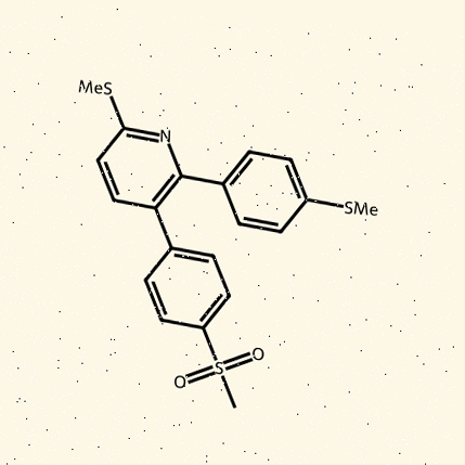 CSc1ccc(-c2nc(SC)ccc2-c2ccc(S(C)(=O)=O)cc2)cc1